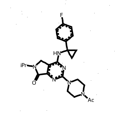 CC(=O)N1CCN(c2nc(NC3(c4ccc(F)cc4)CC3)c3c(n2)C(=O)N(C(C)C)C3)CC1